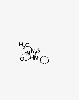 CCN(C(=S)NC1CCCCC1)N1CCOCC1